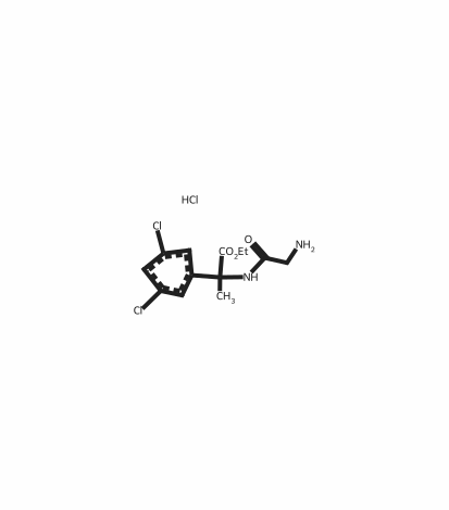 CCOC(=O)C(C)(NC(=O)CN)c1cc(Cl)cc(Cl)c1.Cl